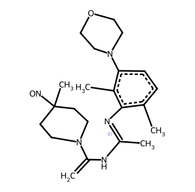 C=C(N/C(C)=N/c1c(C)ccc(N2CCOCC2)c1C)N1CCC(C)(N=O)CC1